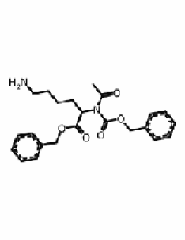 CC(=O)N(C(=O)OCc1ccccc1)C(CCCCN)C(=O)OCc1ccccc1